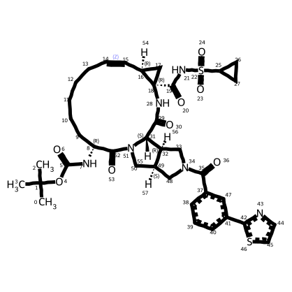 CC(C)(C)OC(=O)N[C@@H]1CCCCC/C=C\[C@H]2C[C@@]2(C(=O)NS(=O)(=O)C2CC2)NC(=O)[C@@H]2[C@H]3CN(C(=O)c4cccc(-c5nccs5)c4)C[C@H]3CN2C1=O